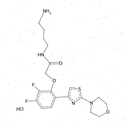 Cl.NCCCCNC(=O)COc1c(-c2csc(N3CCOCC3)n2)ccc(F)c1F